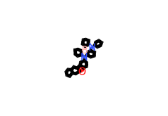 c1ccc(N2c3ccccc3B3c4ccccc4N(c4ccc5oc6cc7ccccc7cc6c5c4)c4cccc2c43)cc1